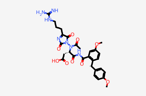 COc1ccc([CH]c2ccc(OC)cc2C(=O)NC(=O)[C@H](CC(=O)O)N(C(C)=O)N2C(=O)N=C(CCCNC(=N)N)C2=O)cc1